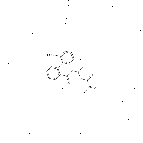 C=C(C)C(=O)OC(C)OC(=O)c1ccccc1-c1ccccc1C(=O)O